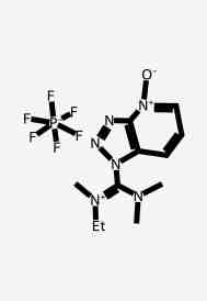 CC[N+](C)=C(N(C)C)n1nnc2c1ccc[n+]2[O-].F[P-](F)(F)(F)(F)F